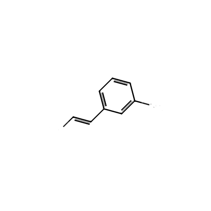 O=CC=Cc1cccc([N+](=O)[O-])c1